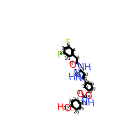 O=C(Cc1cc(F)cc(F)c1)Nc1cc([C@@H]2CCC(OC(=O)N[C@H]3CC[C@H](O)CC3)C2)[nH]n1